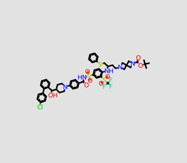 CC(C)(C)OC(=O)N1CC2(CN(CCC(CSc3ccccc3)Nc3ccc(S(=O)(=O)NC(=O)c4ccc(N5CCC(C(O)c6ccccc6-c6ccc(Cl)cc6)CC5)cc4)cc3S(=O)(=O)C(F)(F)F)C2)C1